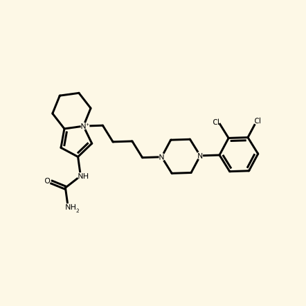 NC(=O)NC1=C[N+]2(CCCCN3CCN(c4cccc(Cl)c4Cl)CC3)CCCCC2=C1